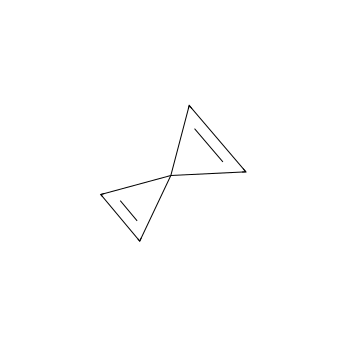 C1=CC12C=C2